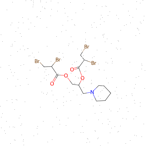 O=C(OCC(CN1CCCCC1)OC(=O)C(Br)CBr)C(Br)CBr